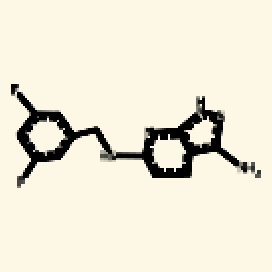 Nc1n[nH]c2nc(NCc3cc(F)cc(F)c3)ccc12